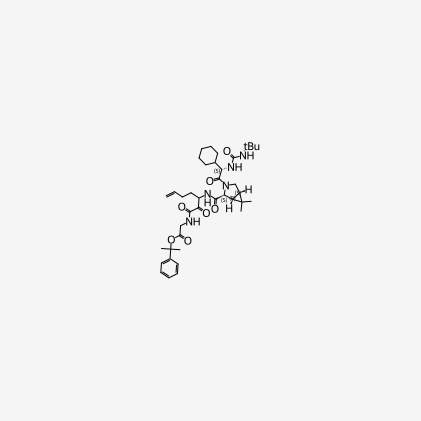 C=CCCC(NC(=O)[C@@H]1[C@@H]2[C@H](CN1C(=O)[C@@H](NC(=O)NC(C)(C)C)C1CCCCC1)C2(C)C)C(=O)C(=O)NCC(=O)OC(C)(C)c1ccccc1